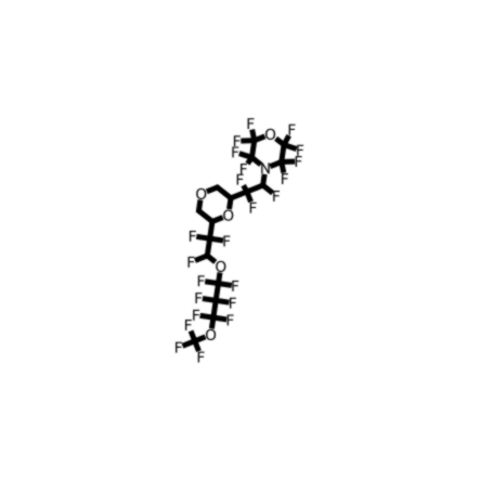 FC(OC(F)(F)C(F)(F)C(F)(F)OC(F)(F)F)C(F)(F)C1COCC(C(F)(F)C(F)N2C(F)(F)C(F)(F)OC(F)(F)C2(F)F)O1